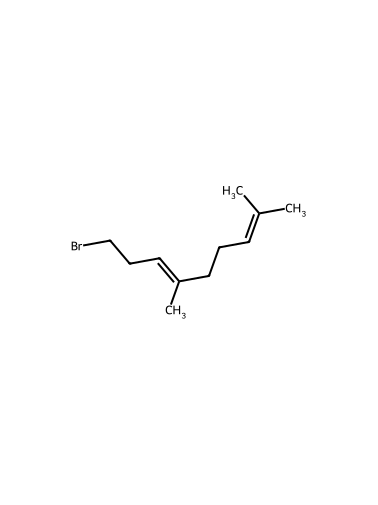 CC(C)=CCCC(C)=CCCBr